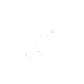 CC(=O)N1CCN(C[C@@H](C(=O)C(C)C)c2ccc(OC(F)(F)F)c(F)c2)CC1